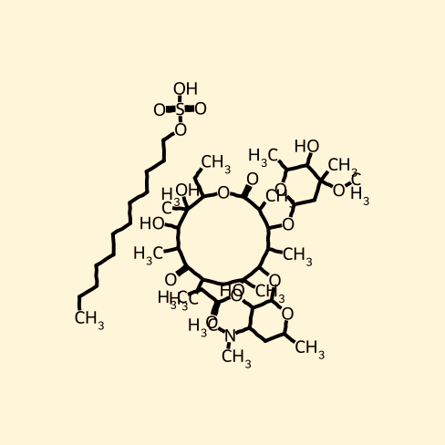 CCC(=O)OC1C(OC2C(C)C(OC3CC(C)(OC)C(O)C(C)O3)C(C)C(=O)OC(CC)C(C)(O)C(O)C(C)C(=O)C(C)CC2(C)O)OC(C)CC1N(C)C.CCCCCCCCCCCCOS(=O)(=O)O